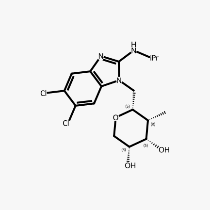 CC(C)Nc1nc2cc(Cl)c(Cl)cc2n1C[C@H]1OC[C@@H](O)[C@@H](O)[C@H]1C